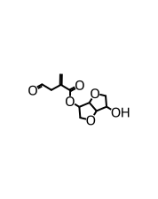 C=C(CC=O)C(=O)OC1COC2C(O)COC12